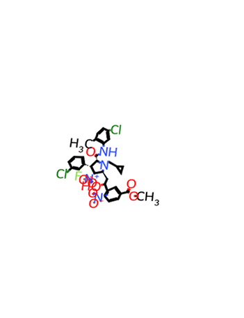 COC(=O)c1ccc([N+](=O)[O-])c(C(O)C[C@H]2[C@@H]([N+](=O)[O-])[C@H](c3cccc(Cl)c3F)[C@H](C(=O)Nc3cc(Cl)ccc3C)N2CC2CC2)c1